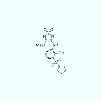 COC1=NS(=O)(=O)N=C1Nc1cccc(S(=O)(=O)N2CCCC2)c1O